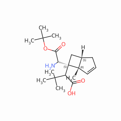 CC(C)(C)OC(=O)C(N)[C@]1(C(C(=O)O)C(C)(C)C)C[C@@H]2CC=C[C@@]21C